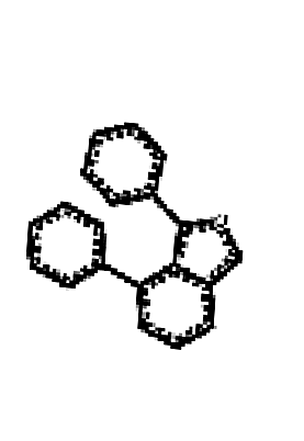 c1ccc(-c2cccc3coc(-c4ccccc4)c23)cc1